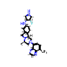 C[C@@H]1CN(c2ccc(C(F)(F)F)c3nccnc23)C[C@@H]2c3ccc(N[C@H]4CNC[C@H]4F)cc3CN12